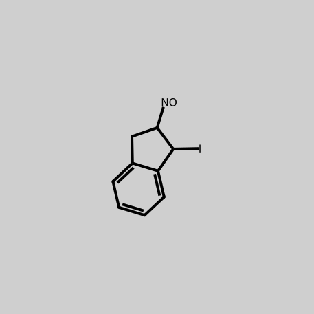 O=NC1Cc2ccccc2C1I